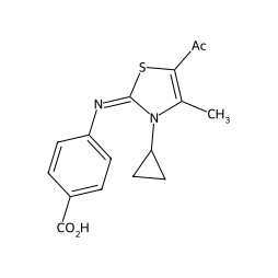 CC(=O)c1s/c(=N/c2ccc(C(=O)O)cc2)n(C2CC2)c1C